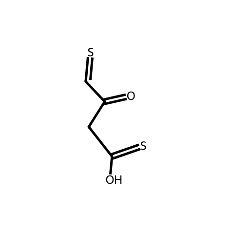 O=C(C=S)CC(O)=S